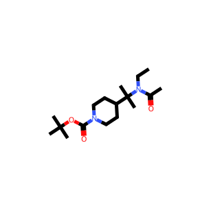 CCN(C(C)=O)C(C)(C)C1CCN(C(=O)OC(C)(C)C)CC1